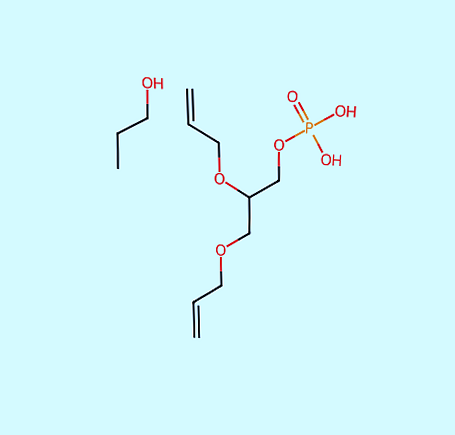 C=CCOCC(COP(=O)(O)O)OCC=C.CCCO